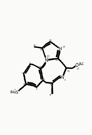 CSc1ccc2c(c1)C(C)=NC(OC(C)=O)c1ncc(C)n1-2